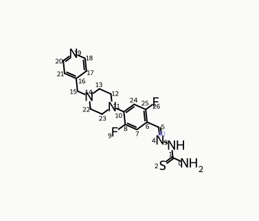 NC(=S)N/N=C/c1cc(F)c(N2CCN(Cc3ccncc3)CC2)cc1F